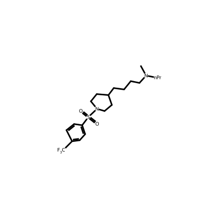 CCCN(C)CCCCC1CCN(S(=O)(=O)c2ccc(C(F)(F)F)cc2)CC1